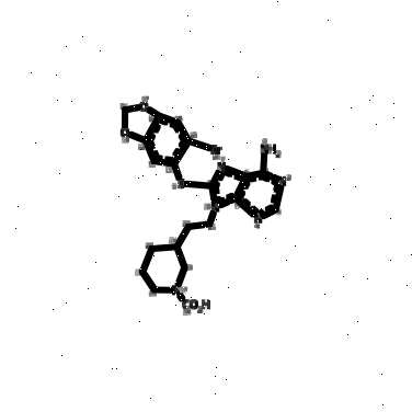 Nc1ncnc2c1nc(Sc1cc3c(cc1Br)OCO3)n2CCC1CCCN(C(=O)O)C1